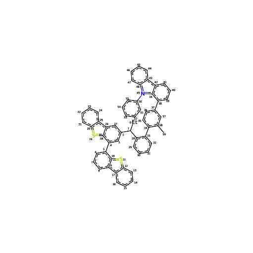 CCC(c1cc(-c2cccc3c2sc2ccccc23)c2sc3ccccc3c2c1)c1ccccc1-c1ccc(-c2cccc3c4ccccc4n(-c4ccccc4)c23)cc1C